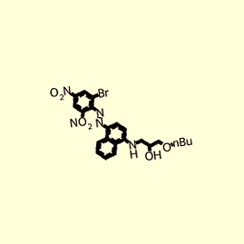 CCCCOCC(O)CNc1ccc(/N=N/c2c(Br)cc([N+](=O)[O-])cc2[N+](=O)[O-])c2ccccc12